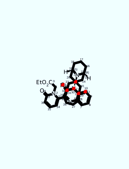 CCOC(=O)Cn1c(-c2nc3ccccc3n([C@H]3C[C@H]4CCC[C@@H](C3)N4[C@@H]3C[C@@H]4CCCC[C@@H](C4)C3)c2=O)cccc1=O